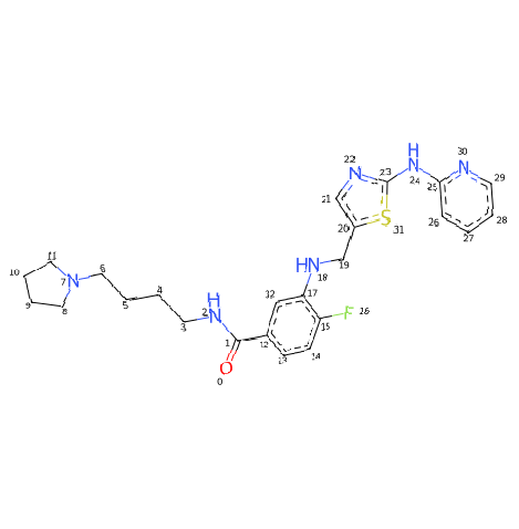 O=C(NCCCCN1CCCC1)c1ccc(F)c(NCc2cnc(Nc3ccccn3)s2)c1